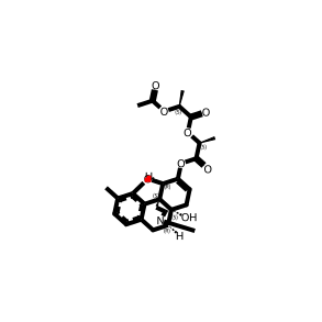 CC(=O)O[C@@H](C)C(=O)O[C@@H](C)C(=O)OC1=CC[C@@]2(O)[C@H]3Cc4ccc(C)c5c4[C@@]2(CCN3C)[C@H]1O5